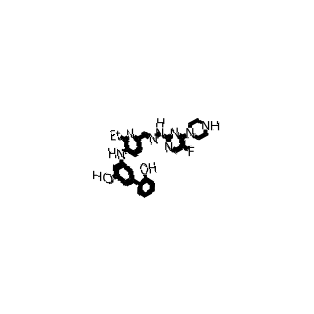 CCc1nc(/C=N/Nc2ncc(F)c(N3CCNCC3)n2)ccc1Nc1cc(O)cc(-c2ccccc2O)c1